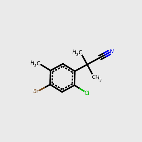 Cc1cc(C(C)(C)C#N)c(Cl)cc1Br